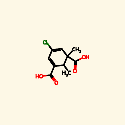 CC1C(C(=O)O)=CC(Cl)=CC1(C)C(=O)O